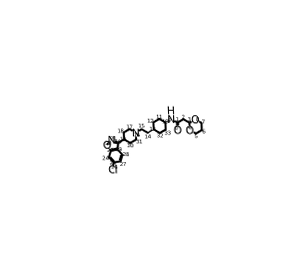 O=C(CC1OCCCO1)N[C@H]1CC[C@H](CCN2CCC(c3noc4cc(Cl)ccc34)CC2)CC1